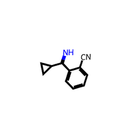 N#Cc1ccccc1C(=N)C1CC1